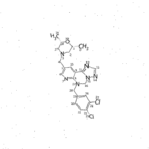 C[C@@H]1CN(Cc2cnc3c(c2)-c2ncnn2CN3Cc2ccc(Cl)c(Cl)c2)C[C@H](C)O1